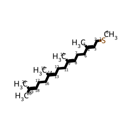 CSC/C=C(\C)CC/C=C(\C)CC/C=C(\C)CCC=C(C)C